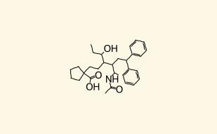 CCC(O)C(CCC1(C(=O)O)CCCC1)C(CC(c1ccccc1)c1ccccc1)C(C)NC(C)=O